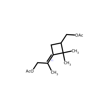 CC(=O)OC/C(C)=C1\CC(COC(C)=O)C1(C)C